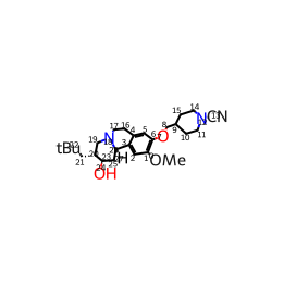 COc1cc2c(cc1OCC1CCN(C#N)CC1)CCN1C[C@@H](CC(C)(C)C)[C@H](O)C[C@H]21